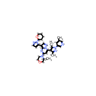 Cc1cncc(-n2nc(C)c(-c3cc(N4CCOC[C@H]4C)nc4c(-c5ccnn5C5CCCCO5)cnn34)c2C)c1